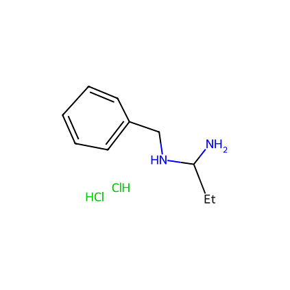 CCC(N)NCc1ccccc1.Cl.Cl